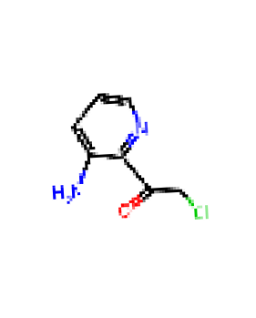 Nc1cccnc1C(=O)CCl